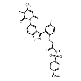 COc1ccc(S(=O)(=O)NC(=O)COc2ccc(C)cc2-c2nsc3ccc(-n4c(=O)cc(C(F)(F)F)n(C)c4=O)cc23)cc1